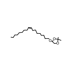 CCCCCCCC/C=C\CCCCCCCCOC1COC(C)(C)O1